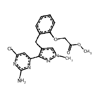 COC(=O)COc1ccccc1Cc1cn(C)nc1-c1cc(Cl)nc(N)n1